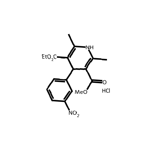 CCOC(=O)C1=C(C)NC(C)=C(C(=O)OC)C1c1cccc([N+](=O)[O-])c1.Cl